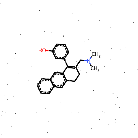 CN(C)CC1=C(c2cccc(O)c2)c2cc3ccccc3cc2CC1